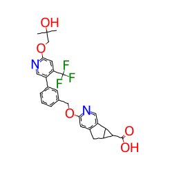 CC(C)(O)COc1cc(C(F)(F)F)c(-c2cccc(COc3cc4c(cn3)C3C(C4)C3C(=O)O)c2)cn1